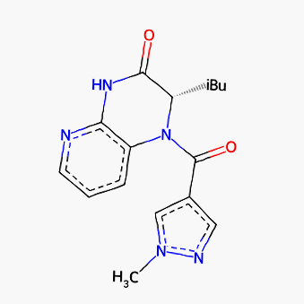 CCC(C)[C@H]1C(=O)Nc2ncccc2N1C(=O)c1cnn(C)c1